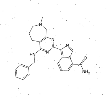 CN1CCCc2c(nc(-c3ncn4c(C(N)=O)cccc34)nc2NCc2ccccc2)C1